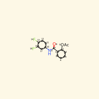 CC(=O)Oc1ccccc1C(=O)Nc1ccc(F)c(F)c1